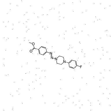 COC(=O)c1ccc(N=NN2CCN(c3ccc(F)cc3)CC2)cc1